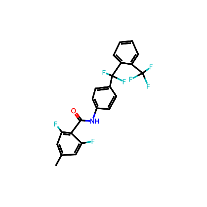 Cc1cc(F)c(C(=O)Nc2ccc(C(F)(F)c3ccccc3C(F)(F)F)cc2)c(F)c1